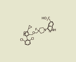 O=C(O)c1ccc2[nH]nc(N3CCC(F)(COCc4c(-c5c(Cl)cccc5Cl)noc4C4CC4)CC3)c2c1